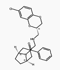 O=C(c1ccccc1)N1[C@@H]2CC[C@H]1CC(CNC[C@H]1COc3ccc(Cl)cc3O1)C2